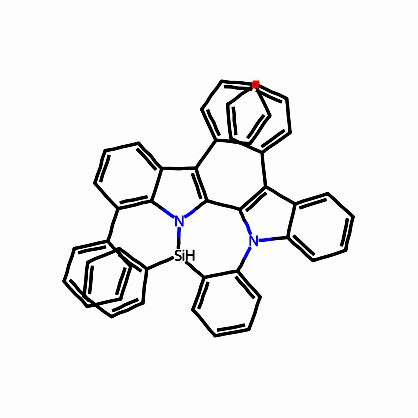 c1ccc(-c2c3n(c4ccccc24)-c2ccccc2[SiH](c2ccccc2)n2c-3c(-c3ccccc3)c3cccc(-c4ccccc4)c32)cc1